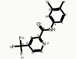 Cc1ccc(NC(=O)c2cc(C(F)(F)F)ccn2)cc1C